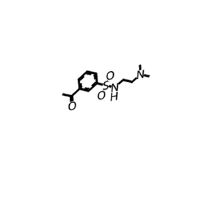 CC(=O)c1cccc(S(=O)(=O)NCCN(C)C)c1